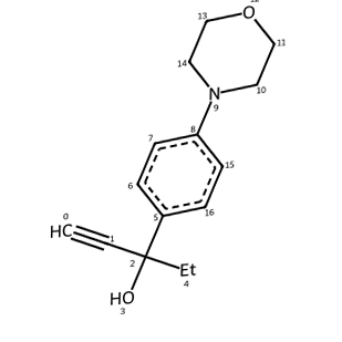 C#CC(O)(CC)c1ccc(N2CCOCC2)cc1